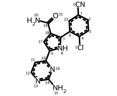 N#Cc1ccc(Cl)c(-c2[nH]c(-c3ccnc(N)n3)cc2C(N)=O)c1